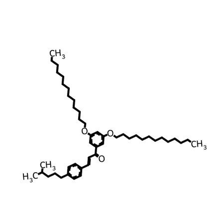 CCCCCCCCCCCCCOc1cc(OCCCCCCCCCCCCC)cc(C(=O)C=Cc2ccc(CCCC(C)C)cc2)c1